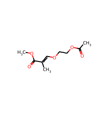 COC(=O)C(C)=COCCOC(C)=O